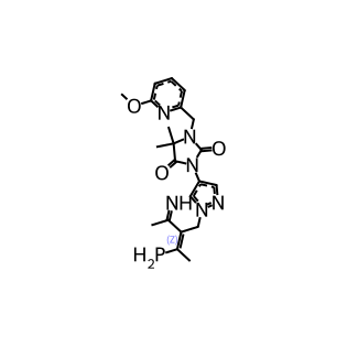 COc1cccc(CN2C(=O)N(c3cnn(C/C(C(C)=N)=C(\C)P)c3)C(=O)C2(C)C)n1